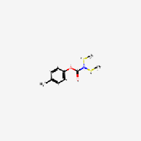 Cc1[c]cc(OC(=O)N(SC(C)C)SC(C)C)cc1